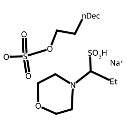 CCC(N1CCOCC1)S(=O)(=O)O.CCCCCCCCCCCCOS(=O)(=O)[O-].[Na+]